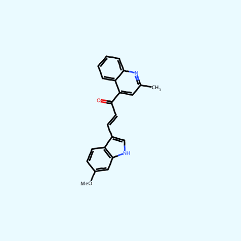 COc1ccc2c(/C=C/C(=O)c3cc(C)nc4ccccc34)c[nH]c2c1